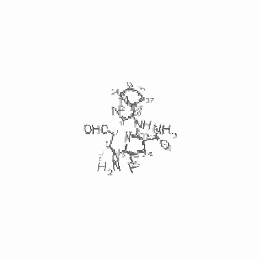 C[C@H](CC=O)N(N)c1nc(Nc2cnn3ccccc23)c(C(N)=O)cc1F